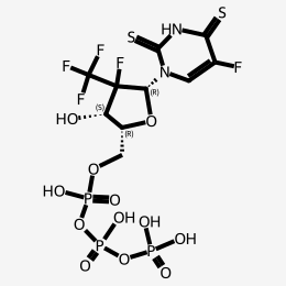 O=P(O)(O)OP(=O)(O)OP(=O)(O)OC[C@H]1O[C@@H](n2cc(F)c(=S)[nH]c2=S)C(F)(C(F)(F)F)[C@H]1O